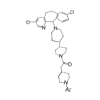 CC(=O)N1CCC(CC(=O)N2CCC(C3CCN(C4c5ccc(Cl)cc5CCc5cc(Cl)cnc54)CC3)CC2)CC1